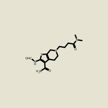 CN(C)C(=O)CCCN1CCc2c(sc(NC=O)c2C(N)=O)C1